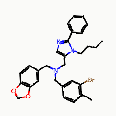 CCCCn1c(CN(Cc2ccc(C)c(Br)c2)Cc2ccc3c(c2)OCO3)cnc1-c1ccccc1